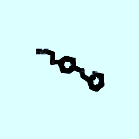 CNCOc1ccc(OCc2ccccn2)cc1